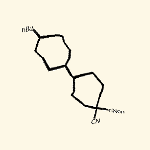 CCCCCCCCCC1(C#N)CCC(C2CCC(CCCC)CC2)CC1